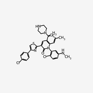 CNc1ccc(Cl)c(-n2c(C=C(C)C)c(C(=O)N3CCNCC3)cc(-c3nc(-c4ccc(Cl)cc4)cs3)c2=O)c1